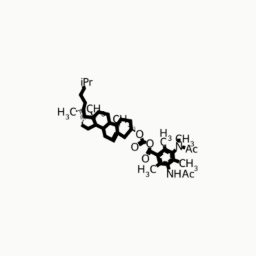 CC(=O)Nc1c(C)c(C(=O)OC(=O)O[C@H]2CC[C@@]3(C)C(=CCC4C3CC[C@@]3(C)C4CC[C@@H]3[C@H](C)CCCC(C)C)C2)c(C)c(N(C)C(C)=O)c1C